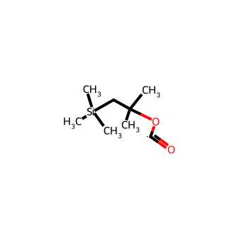 CC(C)(C[Si](C)(C)C)O[C]=O